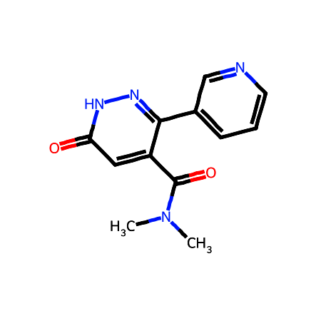 CN(C)C(=O)c1cc(=O)[nH]nc1-c1cccnc1